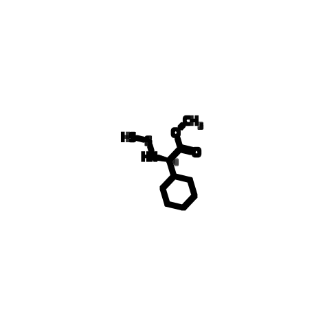 COC(=O)[C@H](NSS)C1CCCCC1